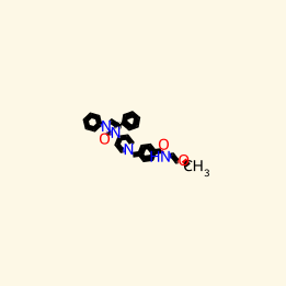 COCCNC(=O)c1ccc(CN2CCC(N3C(=O)N(C4CCCCC4)C[C@H]3c3ccccc3)CC2)cc1